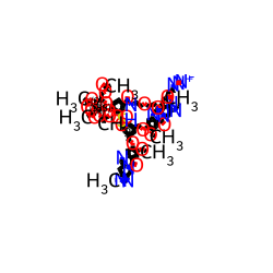 COc1cc2c(cc1OCc1cc(COc3cc4c(cc3OC)C(=O)N3Cc5ncn(C)c5CC3C=N4)cc(OS(=O)Oc3cc(C(=O)NCCOCCOCCOCCN=[N+]=[N-])ccc3O[C@@H]3OC(COC(C)=O)[C@H](OC(C)=O)[C@H](OC(C)=O)[C@H]3OC(C)=O)c1)N=CC1Cc3c(ncn3C)CN1C2=O